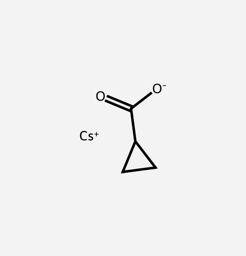 O=C([O-])C1CC1.[Cs+]